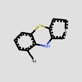 [2H]c1cccc2c1Nc1ccccc1S2